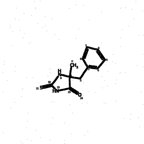 CC1(Cc2ccccc2)NC(=S)NC1=O